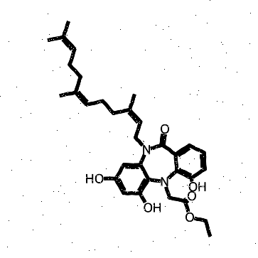 CCOC(=O)CN1c2c(O)cccc2C(=O)N(CC=C(C)CCC=C(C)CCC=C(C)C)c2cc(O)cc(O)c21